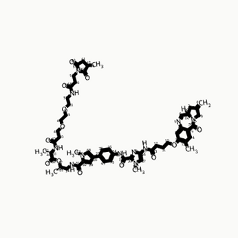 C=C1C[C@H]2C=Nc3cc(OCCCC(=O)Nc4cn(C)c(C(=O)Nc5ccc(-c6cc(C(=O)NC[C@H](C)OC(=O)[C@H](C)NC(=O)CCOCCOCCNC(=O)CCN7C(=O)CC(C)C7=O)n(C)c6)cc5)n4)c(C)cc3C(=O)N2C1